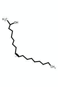 CCCCCCCC/C=C\CCCCCCC(C)O